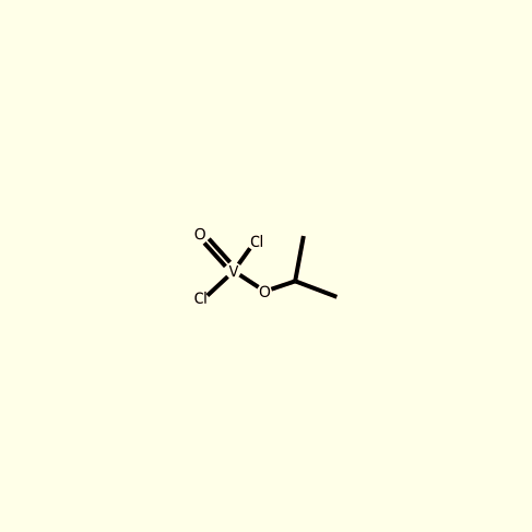 CC(C)[O][V](=[O])([Cl])[Cl]